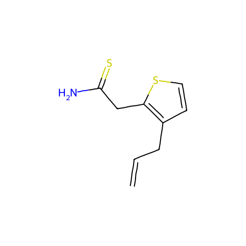 C=CCc1ccsc1CC(N)=S